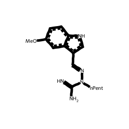 CCCCCN(/N=C/c1c[nH]c2ccc(OC)cc12)C(=N)N